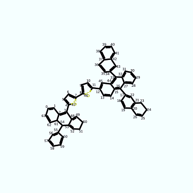 C1=CC2=C(c3ccc(-c4ccc(-c5ccc6c(-c7ccc8c(c7)CCC=C8)c7ccccc7c(-c7ccc8ccccc8c7)c6c5)s4)s3)C3=CCCC=C3C(c3ccccc3)C2C=C1